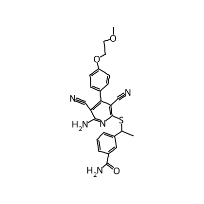 COCCOc1ccc(-c2c(C#N)c(N)nc(SC(C)c3cccc(C(N)=O)c3)c2C#N)cc1